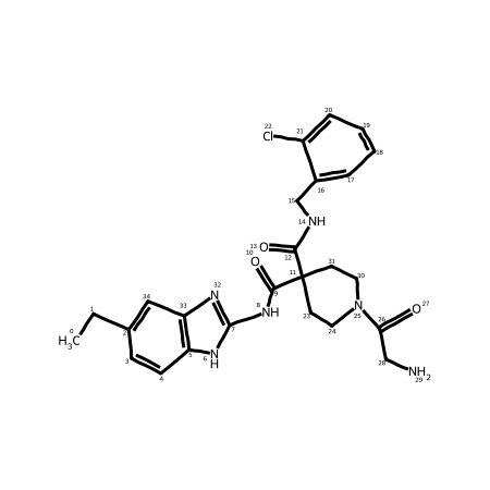 CCc1ccc2[nH]c(NC(=O)C3(C(=O)NCc4ccccc4Cl)CCN(C(=O)CN)CC3)nc2c1